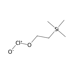 C[Si](C)(C)CCO[Cl+][O-]